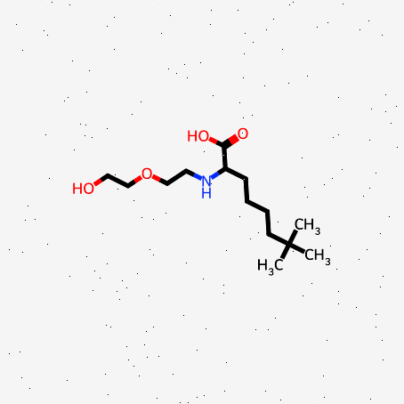 CC(C)(C)CCCCC(NCCOCCO)C(=O)O